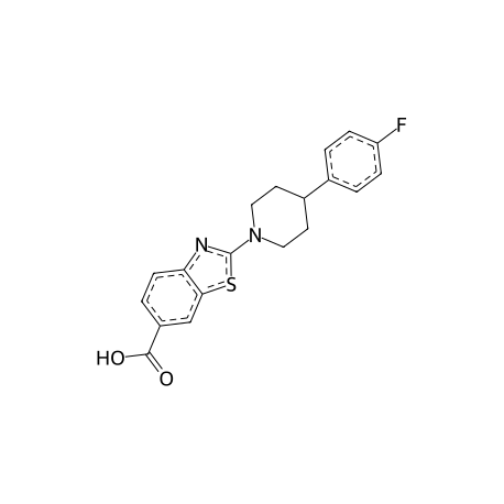 O=C(O)c1ccc2nc(N3CCC(c4ccc(F)cc4)CC3)sc2c1